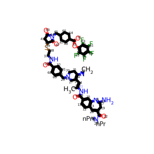 C=NC1=C(/C=C(\C)NC(=O)c2ccc3c(c2)N=C(N)CC(C(=O)N(CCC)CCC)=C3)CN(Cc2ccc(C(=O)NCCSC3CC(=O)N(CC4CCC(C(=O)Oc5c(F)c(F)c(F)c(F)c5F)CC4)C3=O)cc2)CC1